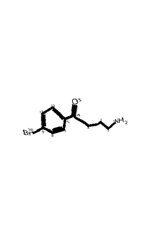 NCCCC(=O)c1ccc(Br)cc1